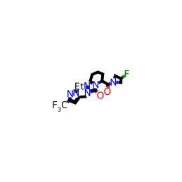 CCn1nc(C(F)(F)F)cc1Cn1nc2n(c1=O)C(C(=O)N1CC(F)C1)CCC2